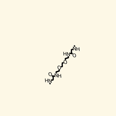 CNCC(=O)NCCOCCOCCNC(=O)CNC